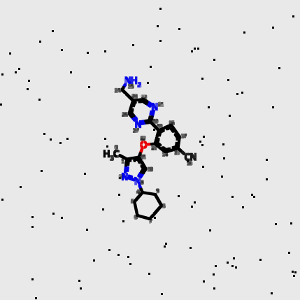 Cc1nn(C2CCCCC2)cc1Oc1cc(C#N)ccc1-c1ncc(CN)cn1